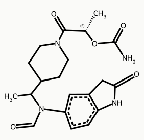 CC(C1CCN(C(=O)[C@H](C)OC(N)=O)CC1)N(C=O)c1ccc2c(c1)CC(=O)N2